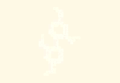 COc1[c]c(OC)c(-c2ccc(OC)cc2OC)cc1